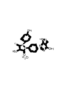 CCCCC1C(=O)N(c2ccccc2)N(c2ccc(O)cc2)C1=O.O.Oc1ncnc2[nH]ncc12